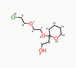 OCCC1(OCCOCCCl)CCCCO1